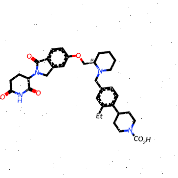 CCc1cc(CN2CCCC[C@@H]2COc2ccc3c(c2)CN(C2CCC(=O)NC2=O)C3=O)ccc1C1CCN(C(=O)O)CC1